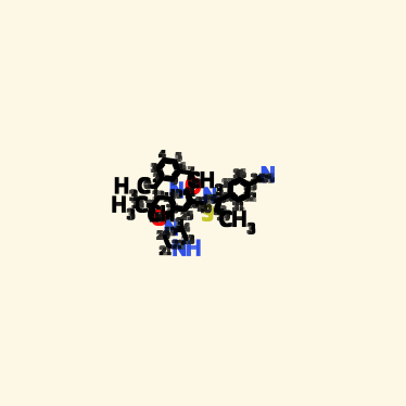 CCc1cccc(CC)c1-n1c(CC(C)C)c(C(=O)N2CCNCC2)cc(-c2nc(-c3ccc(C#N)cc3)c(C)s2)c1=O